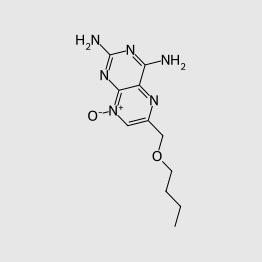 CCCCOCc1c[n+]([O-])c2nc(N)nc(N)c2n1